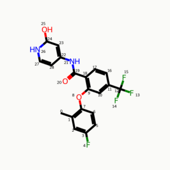 Cc1cc(F)ccc1Oc1cc(C(F)(F)F)ccc1C(=O)NC1=CC(O)NC=C1